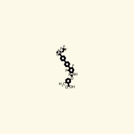 Cc1ccc(Oc2nc3c(F)c(-c4ccc(-c5ccc(-c6ncnn6CC(F)(F)F)cc5)cc4)c(F)cc3[nH]2)cc1C(=O)O